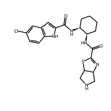 O=C(N[C@@H]1CCCC[C@@H]1NC(=O)c1cc2cc(Cl)ccc2[nH]1)C1=NC2CNCC2S1